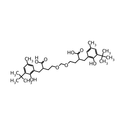 Cc1cc(CC(CCOCOCCC(Cc2cc(C)cc(C(C)(C)C)c2O)C(=O)O)C(=O)O)c(O)c(C(C)(C)C)c1